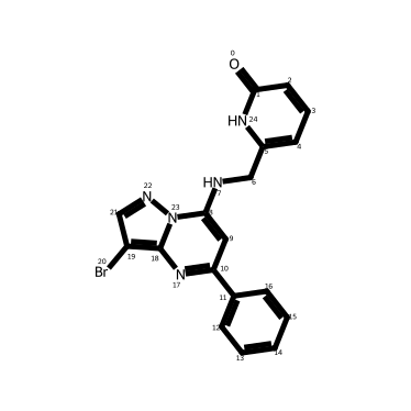 O=c1cccc(CNc2cc(-c3ccccc3)nc3c(Br)cnn23)[nH]1